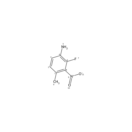 Cc1ccc(N)c(F)c1[N+](=O)[O-]